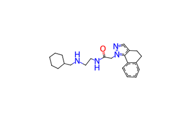 O=C(Cn1ncc2c1-c1ccccc1CC2)NCCNCC1CCCCC1